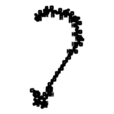 Cc1sc2c(c1C)C(c1ccc(Cl)cc1)=N[C@@H](CC(=O)Nc1ccc(OCCOCCOCCOCCOCCOCCNC(=O)CCNC(=O)c3nc(NC(=O)CCNC(=O)c4cc(NC(=O)c5nc(NC(=O)CCNC(=O)c6cc(NC(=O)c7nccn7C)cn6C)cn5C)cn4C)cn3C)cc1)c1nnc(C)n1-2